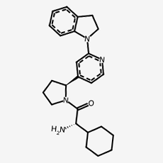 N[C@H](C(=O)N1CCC[C@H]1c1ccnc(N2CCc3ccccc32)c1)C1CCCCC1